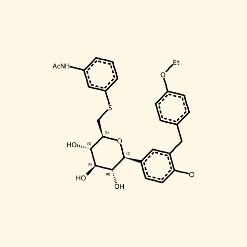 CCOc1ccc(Cc2cc([C@@H]3O[C@H](CSc4cccc(NC(C)=O)c4)[C@@H](O)[C@H](O)[C@H]3O)ccc2Cl)cc1